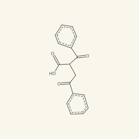 O=C(CC(C(=O)O)C(=O)c1ccccc1)c1ccccc1